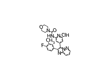 Cc1cc(-c2nc3cccnn3c2-c2ccnc(NC(=O)N3CCOCC3)c2)ccc1F.Cl